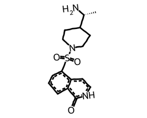 C[C@@H](N)C1CCN(S(=O)(=O)c2cccc3c(=O)[nH]ccc23)CC1